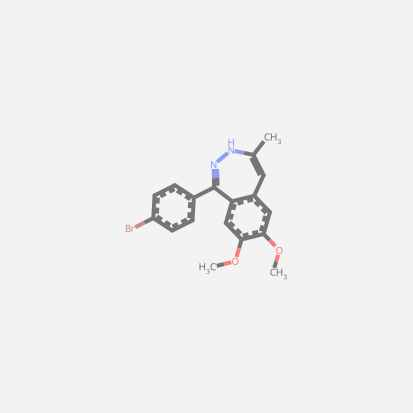 COc1cc2c(cc1OC)C(c1ccc(Br)cc1)=NNC(C)=C2